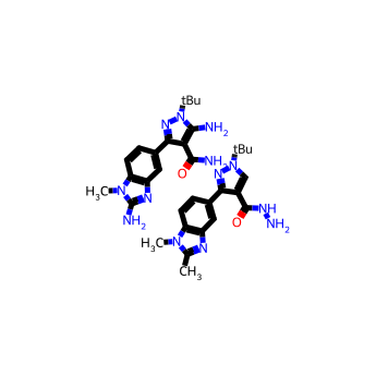 Cc1nc2cc(-c3nn(C(C)(C)C)cc3C(=O)NN)ccc2n1C.Cn1c(N)nc2cc(-c3nn(C(C)(C)C)c(N)c3C(N)=O)ccc21